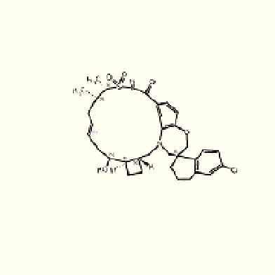 C[C@H]1C/C=C/C[C@H](O)[C@@H]2CC[C@H]2CN2C[C@@]3(CCCc4cc(Cl)ccc43)COc3ccc(cc32)C(=O)NS(=O)(=O)[C@H]1C